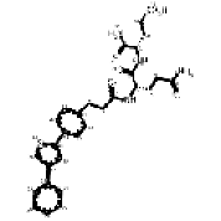 NC(=O)CC[C@H](NC(=O)CCc1ccc(-c2cc(-c3ccccc3)cs2)cc1)C(=O)N[C@@H](CCC(=O)O)C(N)=O